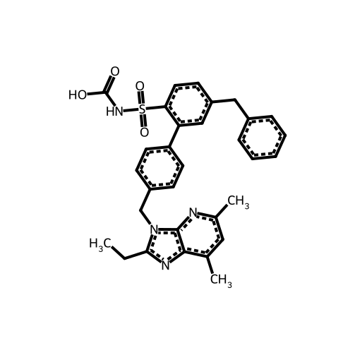 CCc1nc2c(C)cc(C)nc2n1Cc1ccc(-c2cc(Cc3ccccc3)ccc2S(=O)(=O)NC(=O)O)cc1